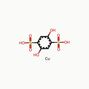 O=S(=O)(O)c1cc(O)c(S(=O)(=O)O)cc1O.[Cu]